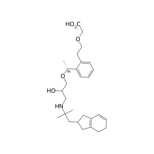 C[C@@H](OCC(O)CNC(C)(C)CC1CC2=C(CCC=C2)C1)c1ccccc1CCOCC(=O)O